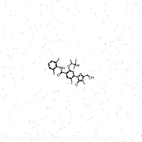 CC(Oc1cc(-n2nc(CO)n(C)c2=O)c(F)cc1C(=O)Nc1c(F)cccc1F)C(F)(F)F